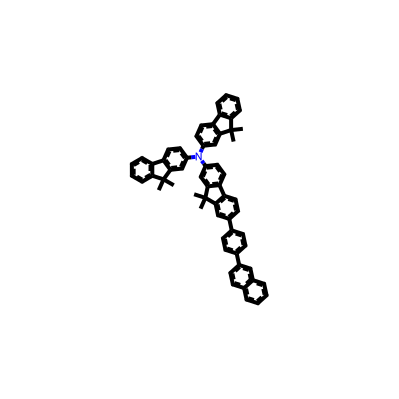 CC1(C)c2ccccc2-c2ccc(N(c3ccc4c(c3)C(C)(C)c3ccccc3-4)c3ccc4c(c3)C(C)(C)c3cc(-c5ccc(-c6ccc7ccccc7c6)cc5)ccc3-4)cc21